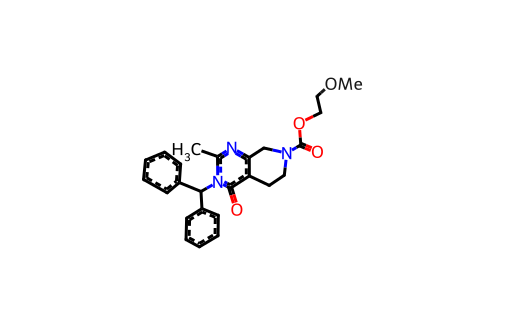 COCCOC(=O)N1CCc2c(nc(C)n(C(c3ccccc3)c3ccccc3)c2=O)C1